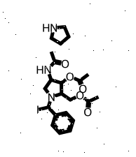 C1CCNC1.CC(=O)NC1CN(C(I)c2ccccc2)C(COC(C)=O)C1OC(C)=O